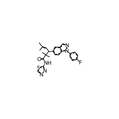 CC(C)=CC(c1ccc2c(cnn2-c2ccc(F)cc2)c1)C(C)(C)C(=O)Nc1nncs1